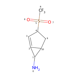 NC1C2=CC(S(=O)(=O)C(F)(F)F)CC21